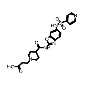 O=C(O)CCN1CCC(C(=O)Nc2nc3ccc(NS(=O)(=O)c4ccncc4)cc3o2)CC1